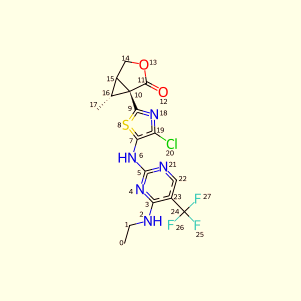 CCNc1nc(Nc2sc([C@]34C(=O)OCC3[C@H]4C)nc2Cl)ncc1C(F)(F)F